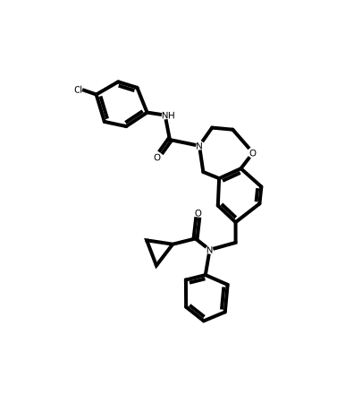 O=C(Nc1ccc(Cl)cc1)N1CCOc2ccc(CN(C(=O)C3CC3)c3ccccc3)cc2C1